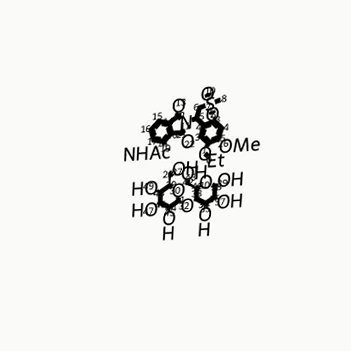 CCOc1cc(C(CS(C)(=O)=O)N2C(=O)c3cccc(NC(C)=O)c3C2=O)ccc1OC.OC[C@H]1O[C@@H](O[C@H]2[C@H](O)[C@@H](O)[C@H](O)O[C@@H]2CO)[C@H](O)[C@@H](O)[C@H]1O